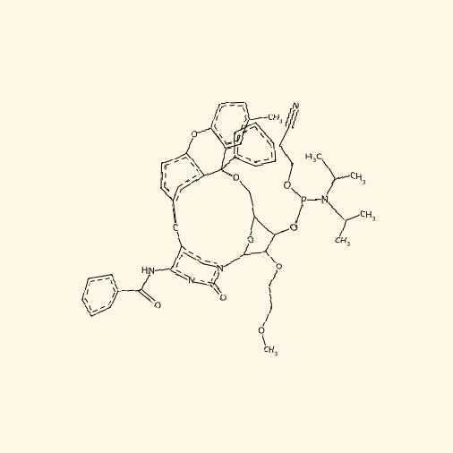 COCCOC1C(OP(OCCC#N)N(C(C)C)C(C)C)C2COC3(c4ccccc4)c4cc(C)ccc4Oc4ccc(cc43)Cc3cn(c(=O)nc3NC(=O)c3ccccc3)C1O2